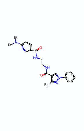 CCN(CC)c1ccc(C(=O)NCCNC(=O)c2cn(-c3ccccc3)nc2C(F)(F)F)cn1